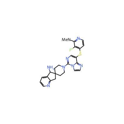 CNc1nccc(Sc2cnc(N3CCC4(CC3)Cc3ncccc3C4N)n3ccnc23)c1F